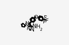 Nc1ncnc2c1c(-c1ccc(Oc3ccc(C(F)(F)F)cc3)cc1)nn2C1CCCC1